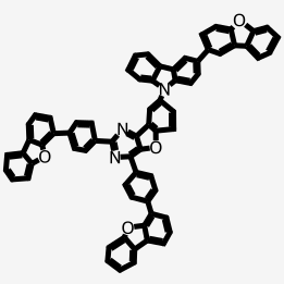 c1ccc2c(c1)oc1ccc(-c3ccc4c(c3)c3ccccc3n4-c3ccc4oc5c(-c6ccc(-c7cccc8c7oc7ccccc78)cc6)nc(-c6ccc(-c7cccc8c7oc7ccccc78)cc6)nc5c4c3)cc12